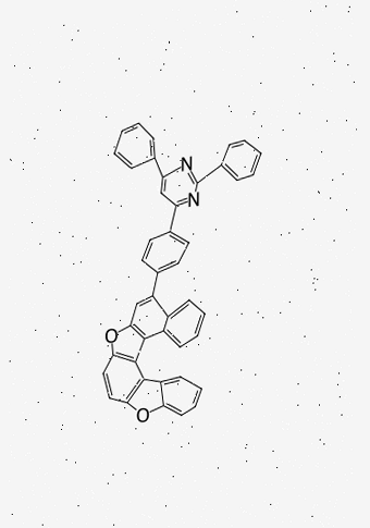 c1ccc(-c2cc(-c3ccc(-c4cc5oc6ccc7oc8ccccc8c7c6c5c5ccccc45)cc3)nc(-c3ccccc3)n2)cc1